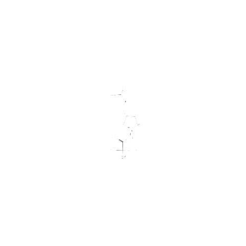 O=C(ON1CC[C@H](OCC(F)F)C1)C(F)(F)F